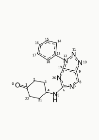 O=C1CCC(Nc2ncc3nnn(-c4ccccc4)c3n2)CC1